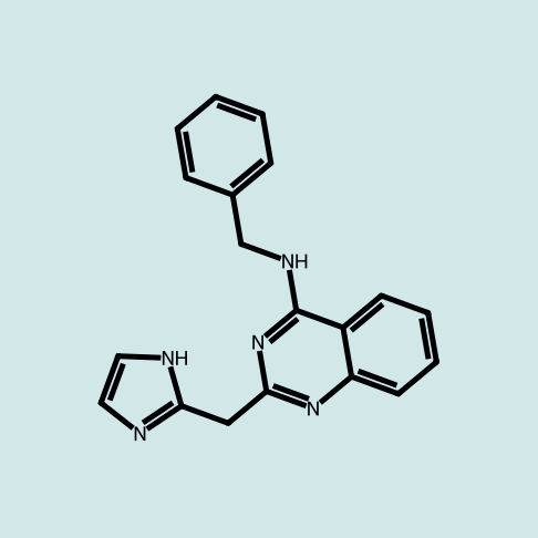 c1ccc(CNc2nc(Cc3ncc[nH]3)nc3ccccc23)cc1